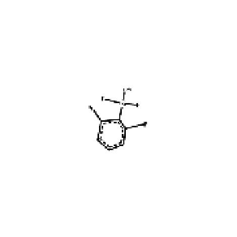 CCC[Si](F)(F)c1c(C(C)C)cccc1C(C)C